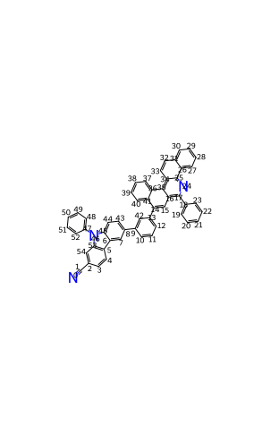 N#Cc1ccc2c3cc(-c4cccc(-c5cc6c(-c7ccccc7)nc7c8ccccc8ccc7c6c6ccccc56)c4)ccc3n(-c3ccccc3)c2c1